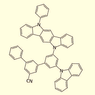 N#Cc1cc(-c2ccccc2)cc(-c2cc(-n3c4ccccc4c4ccccc43)cc(-n3c4ccccc4c4cc5c(cc43)c3ccccc3n5-c3ccccc3)c2)c1